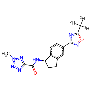 [2H]C([2H])([2H])c1nc(-c2ccc3c(c2)CC[C@H]3NC(=O)c2nnn(C)n2)no1